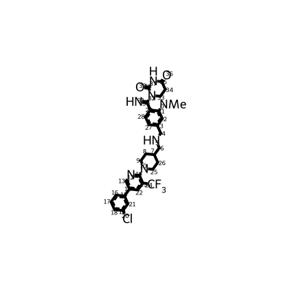 CNc1cc(CNCC2CCN(c3ncc(-c4cccc(Cl)c4)cc3C(F)(F)F)CC2)ccc1C(=N)N1CCC(=O)NC1=O